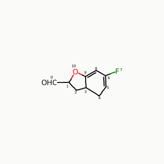 O=CC1CC2CC=C(F)C=C2O1